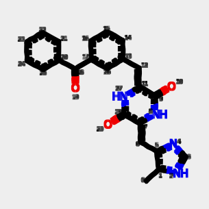 Cc1[nH]cnc1/C=c1\[nH]c(=O)/c(=C/c2cccc(C(=O)c3ccccc3)c2)[nH]c1=O